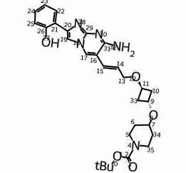 CC(C)(C)OC(=O)N1CCC(O[C@H]2C[C@H](OC/C=C/c3cn4cc(-c5ccccc5O)nc4nc3N)C2)CC1